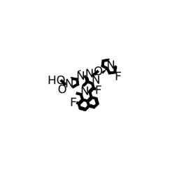 CCc1c(F)ccc2cccc(-c3ncc4c(N(C)[C@@H]5CCN(C(=O)O)C5)nc(OC[C@@]56CCCN5C[C@H](F)C6)nc4c3F)c12